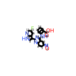 O=Nc1ccc2nc(-c3c[nH]c4ncc(F)cc34)nc(NC3C4CCC(CC4)C3C(=O)O)c2c1